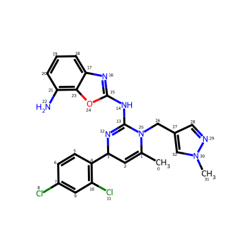 CC1=CC(c2ccc(Cl)cc2Cl)N=C(Nc2nc3cccc(N)c3o2)N1Cc1cnn(C)c1